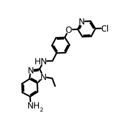 CCn1c(NCc2ccc(Oc3ccc(Cl)cn3)cc2)nc2ccc(N)cc21